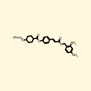 CCCCCOC1CCC(C(=O)Oc2ccc(/C=C/C(=O)OCc3ccc(N)cc3N)cc2)CC1